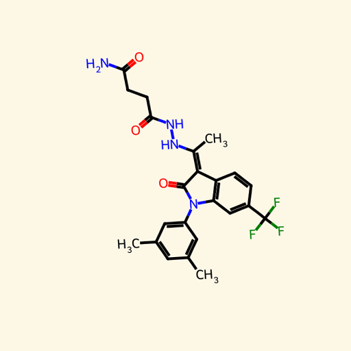 C/C(NNC(=O)CCC(N)=O)=C1/C(=O)N(c2cc(C)cc(C)c2)c2cc(C(F)(F)F)ccc21